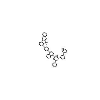 CC1(C)c2cc3ccccc3cc2-c2cccc(-c3ccc(-c4ccc(-c5nc(-c6ccccc6)cc(-c6cccc(-c7cccnc7)c6)n5)c5ccccc45)cc3)c21